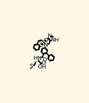 CSCC[C@H](NC(=O)c1ccc(N(Cc2cnc[nH]2)S(=O)(=O)/C=C\c2ccccc2)cc1-c1ccccc1)C(=O)O